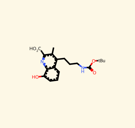 Cc1c(C(=O)O)nc2c(O)cccc2c1CCCNC(=O)OC(C)(C)C